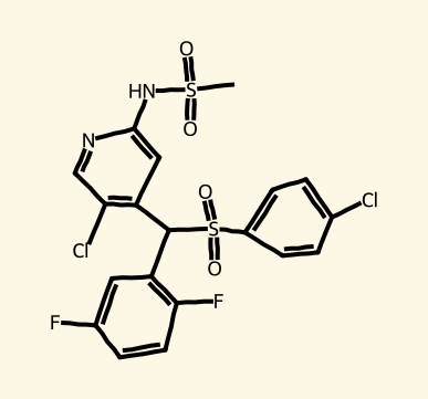 CS(=O)(=O)Nc1cc(C(c2cc(F)ccc2F)S(=O)(=O)c2ccc(Cl)cc2)c(Cl)cn1